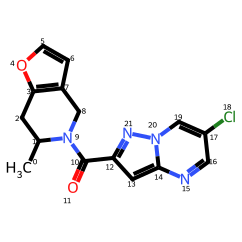 CC1Cc2occc2CN1C(=O)c1cc2ncc(Cl)cn2n1